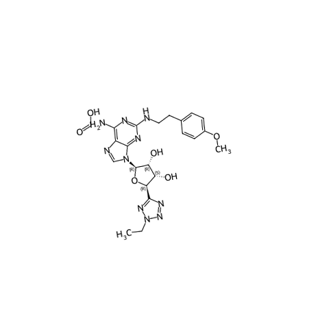 CCn1nnc([C@H]2O[C@@H](n3cnc4c(N)nc(NCCc5ccc(OC)cc5)nc43)[C@H](O)[C@@H]2O)n1.O=CO